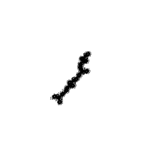 c1ccc(-c2nc(-c3ccccc3)nc(-c3ccc(-c4ccc5cc(-n6c7ccccc7c7c(-c8nc9ccc(-c%10ccc(-c%11nc(-c%12ccccc%12)nc(-c%12ccc%13ccc(-n%14c%15ccccc%15c%15c(-c%16nc%17ccccc%17s%16)cccc%15%14)cc%13c%12)n%11)cc%10)cc9s8)cccc76)ccc5c4)cc3)n2)cc1